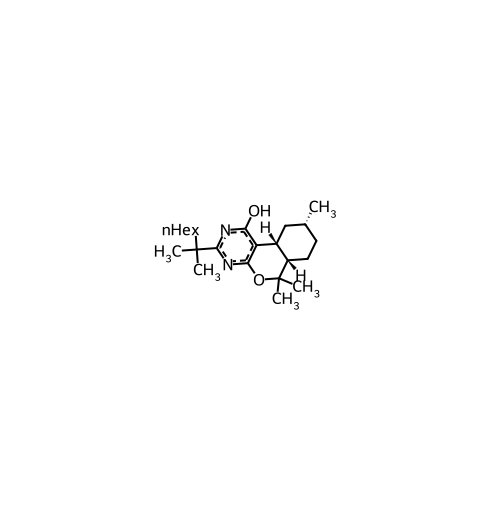 CCCCCCC(C)(C)c1nc(O)c2c(n1)OC(C)(C)[C@H]1CC[C@@H](C)C[C@@H]21